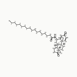 CCCCCCCCCCCCCCCCCC(=O)N[C@@H]1C[C@@H]2[C@H](CC[C@]3(C)C(=O)CC[C@@H]23)[C@@]2(C)C=CC(=O)C=C12